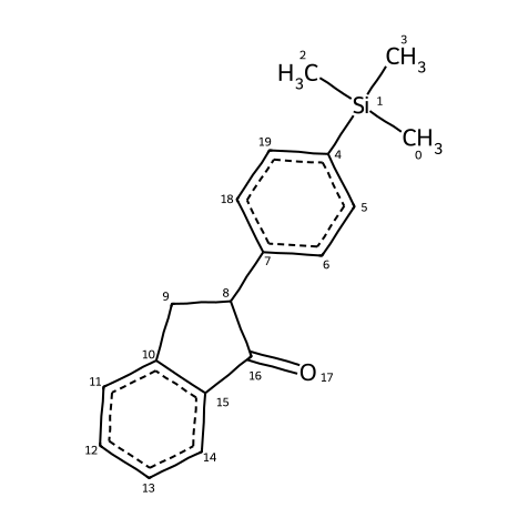 C[Si](C)(C)c1ccc(C2Cc3ccccc3C2=O)cc1